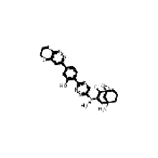 CN(c1cnc(-c2ccc(-c3cc4c(nn3)OCCO4)cc2O)nn1)[C@@H]1C[C@@]2(C)CCC[C@](C)(C2)[C@@H]1F